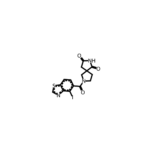 O=C1CC2(CCN(C(=O)c3ccc4scnc4c3I)C2)C(=O)N1